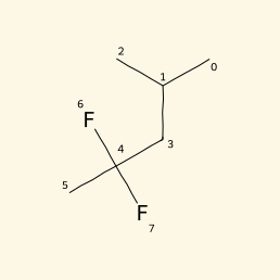 CC(C)CC(C)(F)F